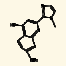 COc1ccc2c(O)cc(-c3nccn3C)nc2c1